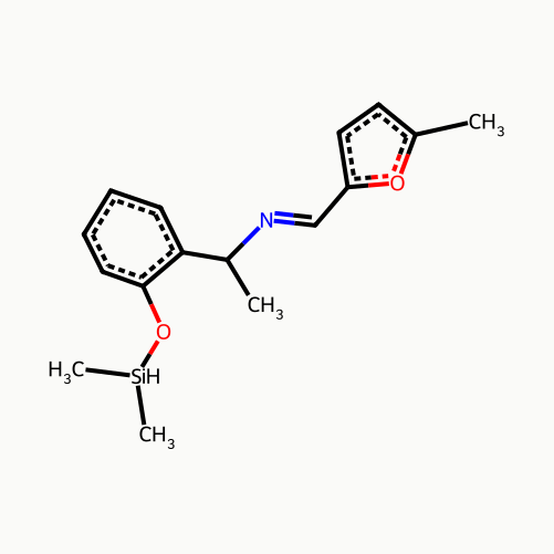 Cc1ccc(C=NC(C)c2ccccc2O[SiH](C)C)o1